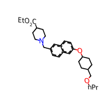 CCCOCC1CCC(Oc2ccc3cc(CN4CCC(C(=O)OCC)CC4)ccc3c2)CC1